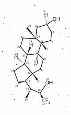 CC[C@]1(O)CC[C@]2(C)[C@H]3CC[C@]4(C)[C@@H]([C@H](C)[C@@H](O)C(F)(F)F)CC[C@H]4[C@@H]3CC[C@]2(C)C1